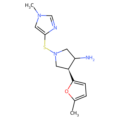 Cc1ccc([C@H]2CN(Sc3cn(C)cn3)CC2N)o1